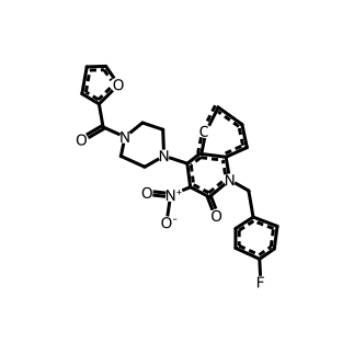 O=C(c1ccco1)N1CCN(c2c([N+](=O)[O-])c(=O)n(Cc3ccc(F)cc3)c3ccccc23)CC1